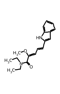 CCN(CC)C(=O)C(=CC=Cc1cc2ccccc2[nH]1)OC